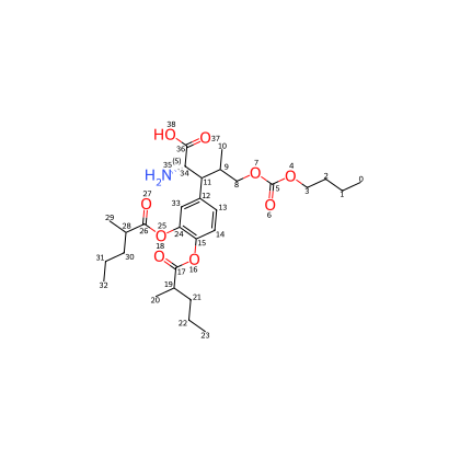 CCCCOC(=O)OCC(C)C(c1ccc(OC(=O)C(C)CCC)c(OC(=O)C(C)CCC)c1)[C@H](N)C(=O)O